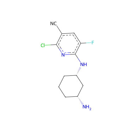 N#Cc1cc(F)c(N[C@H]2CCC[C@@H](N)C2)nc1Cl